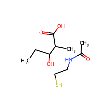 CC(=O)NCCS.CCC(O)C(C)C(=O)O